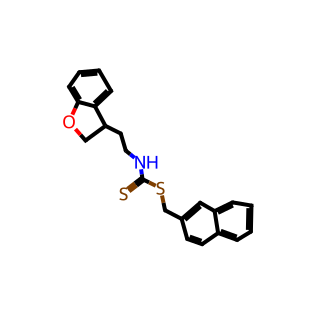 S=C(NCCC1COc2ccccc21)SCc1ccc2ccccc2c1